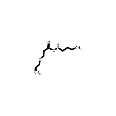 C=CCOCCC(=O)ONCCCC